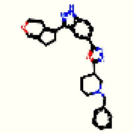 C1=CC2=C(c3n[nH]c4ccc(-c5nnc(C6CCCN(Cc7ccccc7)C6)o5)cc34)CCC2=CO1